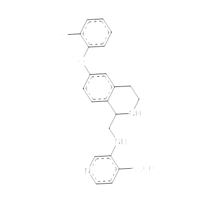 Cc1ccccc1Oc1ccc2c(c1)CCNC2CNc1cnccc1C(=O)O